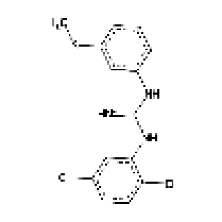 CSc1cccc(NC(=N)Nc2cc(Cl)ccc2Cl)c1